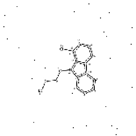 CCOCOn1c2ccccc2c2ccnc(Cl)c21